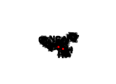 CC(C)(C)OC(=O)N1[C@@H]2CC[C@H]1CN(c1nc(OCC3(CN4CCOCC4)CC3)c(C#N)c3c1CCN(Cc1ccccc1)C3)C2